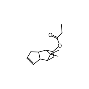 CCC(=O)OC1CC2C3C=CCC3C1C2(C)C